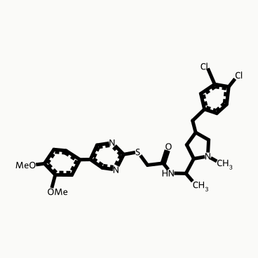 COc1ccc(-c2cnc(SCC(=O)NC(C)C3CC(Cc4ccc(Cl)c(Cl)c4)CN3C)nc2)cc1OC